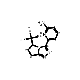 Nc1cccc(-c2nnc3n2C(C(F)(F)F)CC3)n1